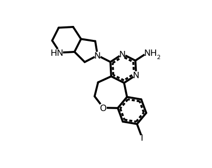 Nc1nc2c(c(N3CC4CCCNC4C3)n1)CCOc1cc(I)ccc1-2